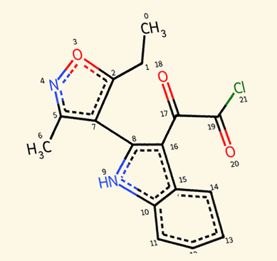 CCc1onc(C)c1-c1[nH]c2ccccc2c1C(=O)C(=O)Cl